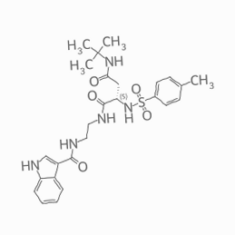 Cc1ccc(S(=O)(=O)N[C@@H](CC(=O)NC(C)(C)C)C(=O)NCCNC(=O)c2c[nH]c3ccccc23)cc1